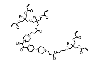 C=CC(=O)OCC(CC)(COCCCOC(=O)CCN1CCN(c2ccc(C(=O)C(CC)N3CCN(CCC(=O)OCC(CC)(COCC(CC)(COC(=O)C=C)COC(=O)C=C)COC(=O)C=C)CC3)cc2)CC1)COC(=O)C=C